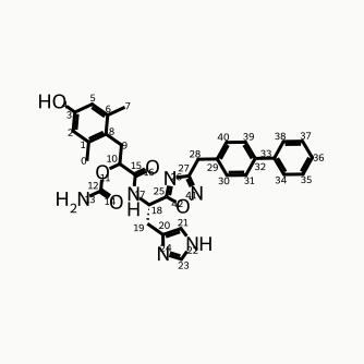 Cc1cc(O)cc(C)c1CC(OC(N)=O)C(=O)N[C@@H](Cc1c[nH]cn1)c1nc(Cc2ccc(-c3ccccc3)cc2)no1